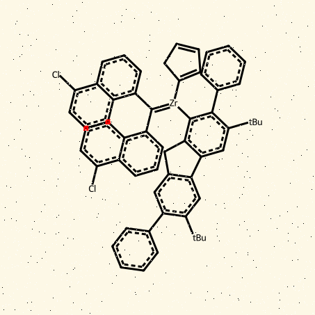 CC(C)(C)c1cc2c(cc1-c1ccccc1)Cc1c-2cc(C(C)(C)C)c(-c2ccccc2)[c]1[Zr]([C]1=CC=CC1)=[C](c1cccc2c(Cl)cccc12)c1cccc2c(Cl)cccc12